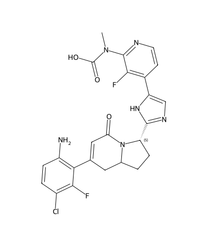 CN(C(=O)O)c1nccc(-c2cnc([C@@H]3CCC4CC(c5c(N)ccc(Cl)c5F)=CC(=O)N43)[nH]2)c1F